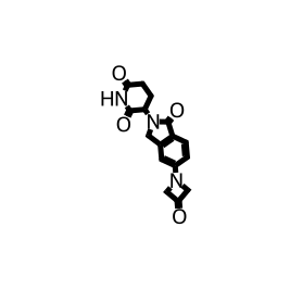 O=C1CN(c2ccc3c(c2)CN(C2CCC(=O)NC2=O)C3=O)C1